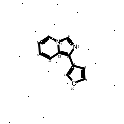 c1ccn2cnc(-c3ccoc3)c2c1